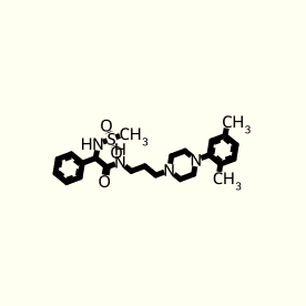 Cc1ccc(C)c(N2CCN(CCCNC(=O)C(NS(C)(=O)=O)c3ccccc3)CC2)c1